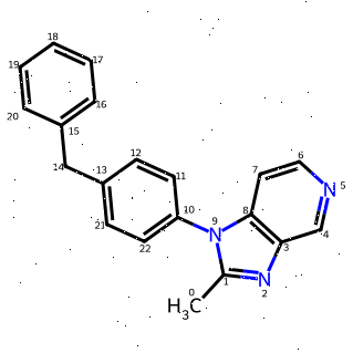 Cc1nc2cnccc2n1-c1ccc(Cc2ccccc2)cc1